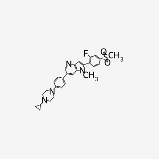 Cn1c(-c2ccc(S(C)(=O)=O)cc2F)cc2ncc(-c3ccc(N4CCN(C5CC5)CC4)cc3)cc21